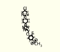 CS(=O)(=O)c1ccc(OCc2nnn(C3CCN(C4=NCC(Cl)C=N4)CC3)n2)c(F)c1